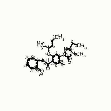 CCC[C@H](C)Oc1cc(-n2nc(CC)n(C)c2=O)c(F)cc1C(=O)Nc1ccccc1O